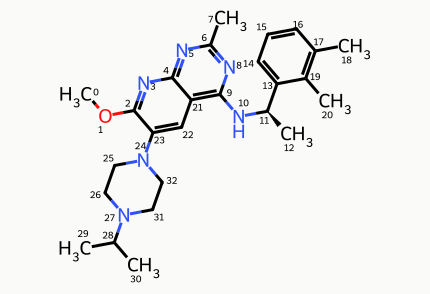 COc1nc2nc(C)nc(N[C@H](C)c3cccc(C)c3C)c2cc1N1CCN(C(C)C)CC1